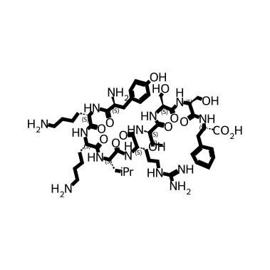 CC(C)C[C@H](NC(=O)[C@H](CCCCN)NC(=O)[C@H](CCCCN)NC(=O)[C@@H](N)Cc1ccc(O)cc1)C(=O)N[C@@H](CCCNC(=N)N)C(=O)N[C@H](C(=O)N[C@@H](CO)C(=O)N[C@@H](CO)C(=O)N[C@@H](Cc1ccccc1)C(=O)O)[C@@H](C)O